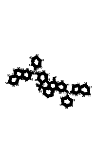 Cc1c2c3c(cccc3c3cc(N(c4ccccc4)c4ccc5ccccc5c4)ccc13)C(C)(C)c1cc(N(c3ccccc3)c3ccc4c(ccc5ccccc54)c3)ccc1-2